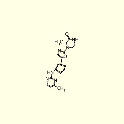 Cc1ccnc(Nc2cccc(-c3cnc(N4CCNC(=O)[C@H]4C)o3)c2)n1